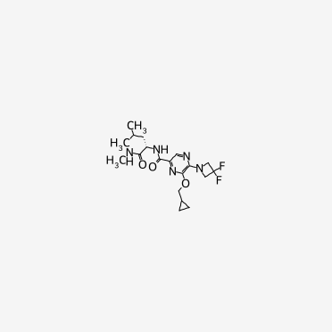 CNC(=O)[C@H](CC(C)C)NC(=O)c1cnc(N2CC(F)(F)C2)c(OCC2CC2)n1